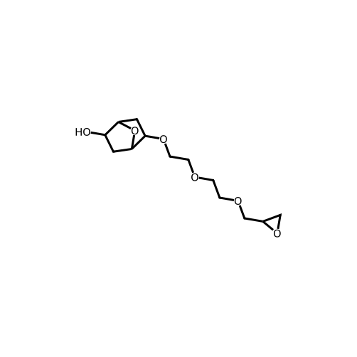 OC1CC2OC1CC2OCCOCCOCC1CO1